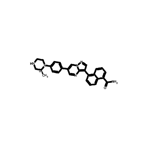 C[C@H]1CNCCN1c1ccc(-c2cnc3c(-c4cccc5c(C(N)=O)cccc45)cnn3c2)cc1